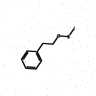 ISOCCc1ccccc1